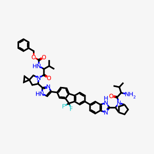 CC(C)C(N)C(=O)N1C2CCC(C2)C1c1nc2ccc(-c3ccc4c(c3)C(F)(F)c3cc(-c5c[nH]c(C6CC7(CC7)CN6C(=O)C(NC(=O)OCc6ccccc6)C(C)C)n5)ccc3-4)cc2[nH]1